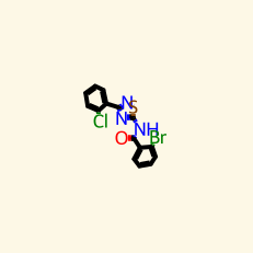 O=C(Nc1nc(-c2ccccc2Cl)ns1)c1ccccc1Br